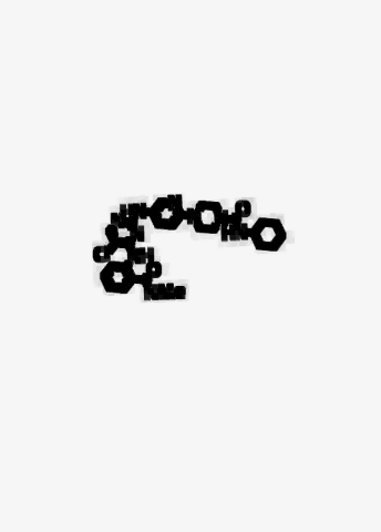 CNC(=O)c1ccccc1Nc1nc(Nc2ccc(N3CCN(C(=O)NC4CCCCC4)CC3)nc2)ncc1Cl